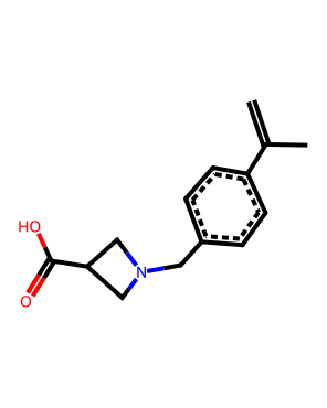 C=C(C)c1ccc(CN2CC(C(=O)O)C2)cc1